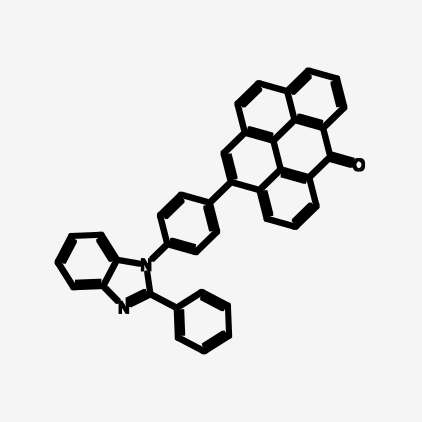 O=C1c2cccc3ccc4cc(-c5ccc(-n6c(-c7ccccc7)nc7ccccc76)cc5)c5cccc1c5c4c23